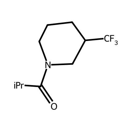 CC(C)C(=O)N1CCCC(C(F)(F)F)C1